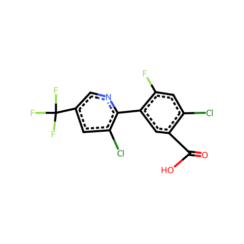 O=C(O)c1cc(-c2ncc(C(F)(F)F)cc2Cl)c(F)cc1Cl